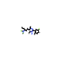 C=C/C(=C\C=C\C(=C)/N=C(\NCC)c1cc(F)ccc1C)N(F)F